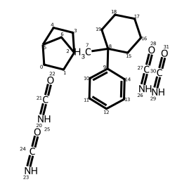 C1CC2CCC1C2.CC1(c2ccccc2)CCCCC1.N=C=O.N=C=O.N=C=O.N=C=O